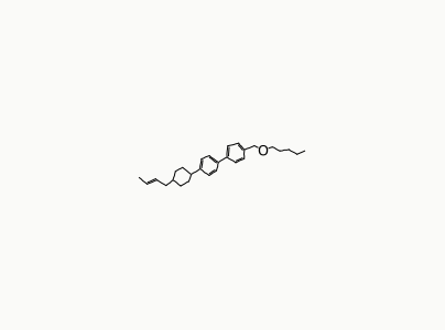 C/C=C/CC1CCC(c2ccc(-c3ccc(COCCCCC)cc3)cc2)CC1